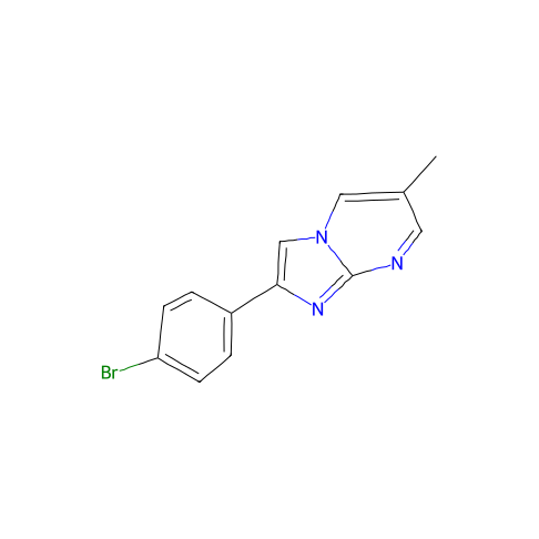 Cc1cnc2nc(-c3ccc(Br)cc3)cn2c1